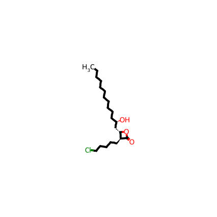 CCCCCCCCCCC[C@H](O)C[C@@H]1OC(=O)[C@H]1CCCCCCl